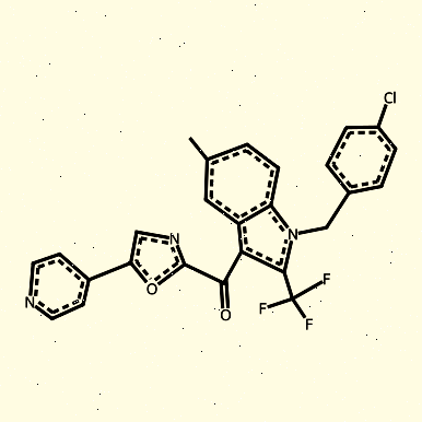 Cc1ccc2c(c1)c(C(=O)c1ncc(-c3ccncc3)o1)c(C(F)(F)F)n2Cc1ccc(Cl)cc1